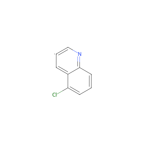 Clc1cccc2nc[c]cc12